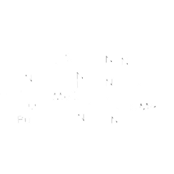 COc1ncnc(OC)c1-n1c(NSC2CCCN(C(=O)OC(C)(C)C)C2)nnc1-c1ccccc1